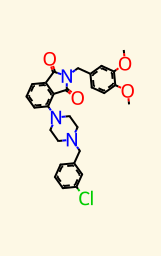 COc1ccc(CN2C(=O)c3cccc(N4CCN(Cc5cccc(Cl)c5)CC4)c3C2=O)cc1OC